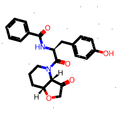 O=C(N[C@@H](Cc1ccc(O)cc1)C(=O)N1CCC[C@H]2OCC(=O)[C@H]21)c1ccccc1